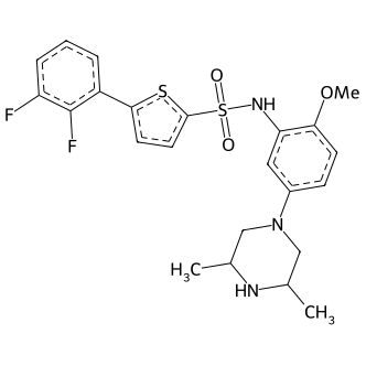 COc1ccc(N2CC(C)NC(C)C2)cc1NS(=O)(=O)c1ccc(-c2cccc(F)c2F)s1